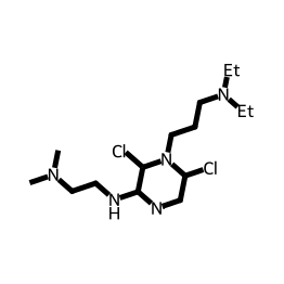 CCN(CC)CCCN1C(Cl)C[N]C(NCCN(C)C)C1Cl